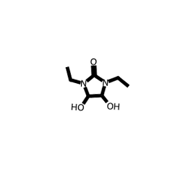 CCN1C(=O)N(CC)C(O)C1O